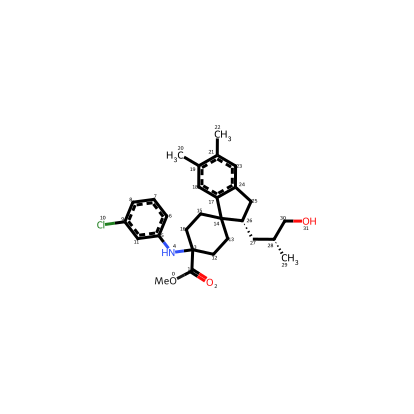 COC(=O)C1(Nc2cccc(Cl)c2)CCC2(CC1)c1cc(C)c(C)cc1C[C@@H]2C[C@@H](C)CO